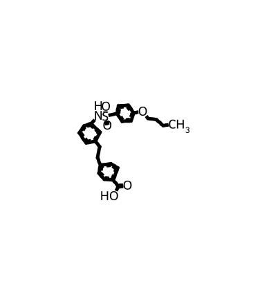 CCCCOc1ccc(S(=O)(=O)Nc2cccc(CCc3ccc(C(=O)O)cc3)c2)cc1